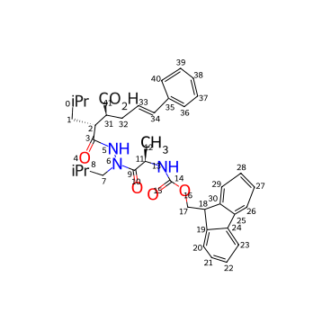 CC(C)C[C@@H](C(=O)NN(CC(C)C)C(=O)[C@@H](C)NC(=O)OCC1c2ccccc2-c2ccccc21)[C@H](CC=Cc1ccccc1)C(=O)O